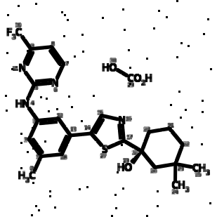 Cc1cc(Nc2nccc(C(F)(F)F)n2)cc(-c2cnc([C@]3(O)CCCC(C)(C)C3)s2)c1.O=C(O)O